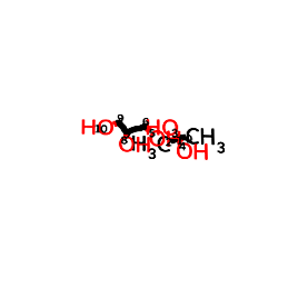 CC(C)(O)O.OCC(O)CO